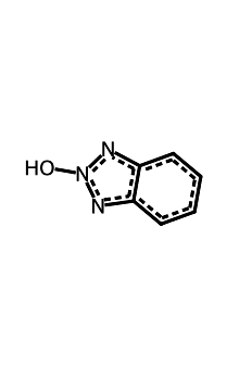 On1nc2ccccc2n1